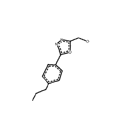 CCCc1ccc(-c2nnc(C[O])o2)cc1